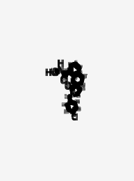 O=C(NO)c1cccc2c1CC1(CC2)CCN(Cc2ccc(Cl)cc2)C1=O